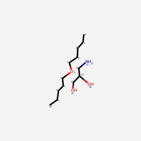 CCCCCOCCCCC.NCC(O)CO